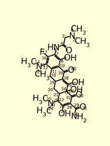 CN(C)CC(=O)Nc1c(O)c2c(c(N(C)C)c1F)CC1CC3[C@H](N(C)C)C(O)=C(C(N)=O)C(=O)[C@@]3(O)C(O)=C1C2=O